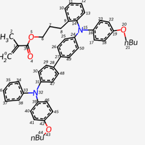 C=C(C)C(=O)OCCCc1ccccc1N(c1ccc(OCCCC)cc1)c1ccc(-c2ccc(N(c3ccccc3)c3ccc(OCCCC)cc3)cc2)cc1